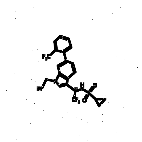 CC(C)Cn1cc([C@@H](NS(=O)(=O)C2CC2)C(F)(F)F)c2ccc(-c3ccccc3C(F)(F)F)cc21